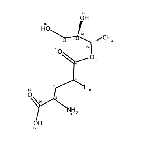 C[C@H](OC(=O)C(F)CC(N)C(=O)O)[C@H](O)CO